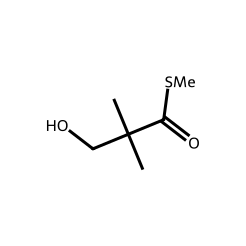 CSC(=O)C(C)(C)CO